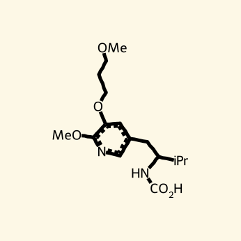 COCCCOc1cc(CC(NC(=O)O)C(C)C)cnc1OC